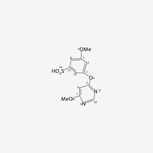 COc1cc(Oc2cc(OC)ncn2)cc(S(=O)(=O)O)c1